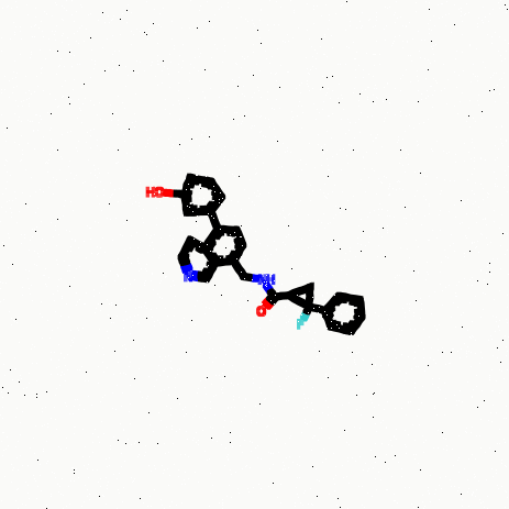 O=C(NCc1ccc(-c2cccc(O)c2)c2ccncc12)C1CC1(F)c1ccccc1